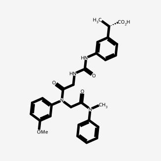 COc1cccc(N(CC(=O)N(C)c2ccccc2)C(=O)CNC(=O)Nc2cccc([C@H](C)C(=O)O)c2)c1